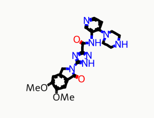 COc1cc2c(cc1OC)C(=O)N(c1nc(C(=O)Nc3cnccc3N3CCNCC3)n[nH]1)C2